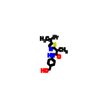 CC(C(=O)Nc1ccc(CO)cc1)c1ncc([C@@H](C)C(C)C)s1